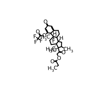 CCC(=O)OCC(=O)[C@@]1(O)C(C)C[C@H]2[C@@H]3CCC4=CC(=O)C=C(OC(=O)C(F)(F)F)[C@]4(C)[C@@]3(F)CC[C@@]21C